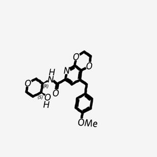 COc1ccc(Cc2cc(C(=O)N[C@@H]3COCC[C@@H]3O)nc3c2OCCO3)cc1